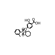 Cc1ccccc1S(=O)(=O)C1(Oc2ccc(C(=O)O)c(O)c2)CCCCC1